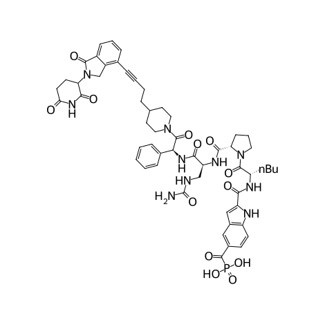 CCCC[C@H](NC(=O)c1cc2cc(C(=O)P(=O)(O)O)ccc2[nH]1)C(=O)N1CCC[C@H]1C(=O)N[C@@H](CNC(N)=O)C(=O)N[C@H](C(=O)N1CCC(CCC#Cc2cccc3c2CN(C2CCC(=O)NC2=O)C3=O)CC1)c1ccccc1